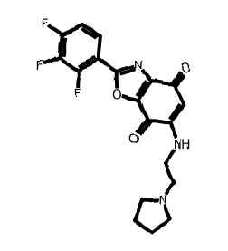 O=C1C=C(NCCN2CCCC2)C(=O)c2oc(-c3ccc(F)c(F)c3F)nc21